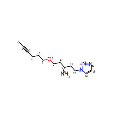 CC#CCCCOCCC(N)CCn1ccnn1